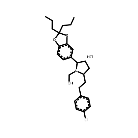 CCCC1(CCC)Oc2ccc(C3CCC(CCc4ccc(Cl)cc4)N3CO)cc2S1.Cl